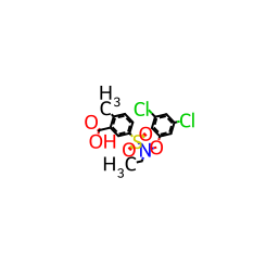 CCN(Oc1cc(Cl)cc(Cl)c1)S(=O)(=O)c1ccc(C)c(C(=O)O)c1